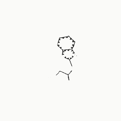 CC(CC(=O)O)Sc1nc2ccccc2o1